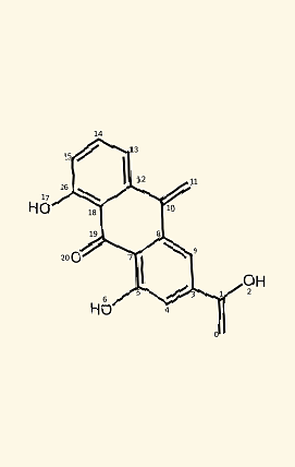 C=C(O)c1cc(O)c2c(c1)C(=C)c1cccc(O)c1C2=O